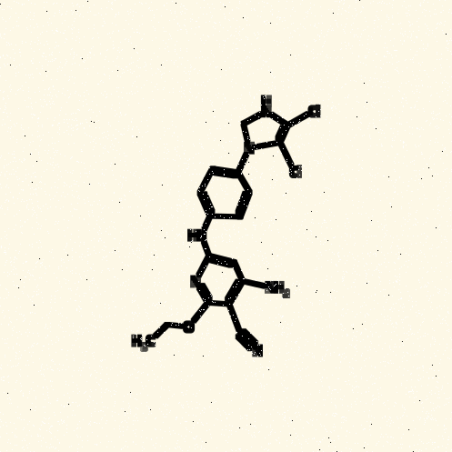 CCOc1nc(Nc2ccc(N3CNC(Cl)=C3Cl)cc2)cc(N)c1C#N